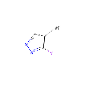 CC(C)C1C=NN=C1I